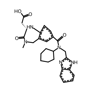 CN1Cc2cc(C(=O)N(Cc3nc4ccccc4[nH]3)C3CCCCC3)ccc2N[C@@H](CC(=O)O)C1=O